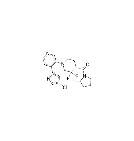 C[C@H]1CCCN1C(=O)[C@H]1CCN(c2cnccc2-n2cc(Cl)cn2)CC1(F)F